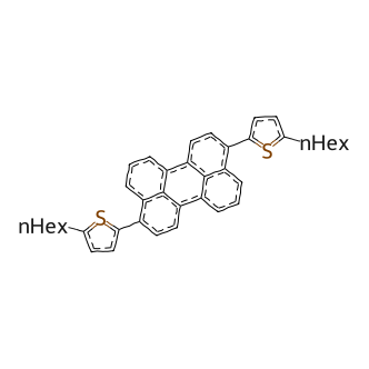 CCCCCCc1ccc(-c2ccc3c4cccc5c(-c6ccc(CCCCCC)s6)ccc(c6cccc2c63)c54)s1